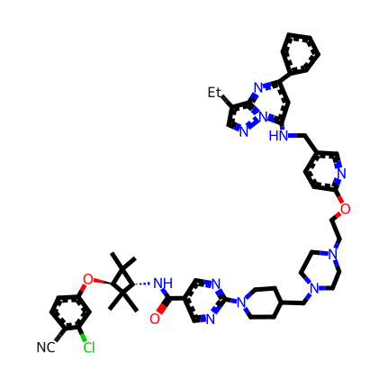 CCc1cnn2c(NCc3ccc(OCCN4CCN(CC5CCN(c6ncc(C(=O)N[C@H]7C(C)(C)[C@H](Oc8ccc(C#N)c(Cl)c8)C7(C)C)cn6)CC5)CC4)nc3)cc(-c3ccccc3)nc12